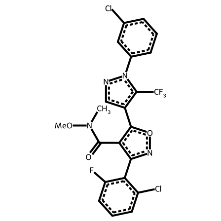 CON(C)C(=O)c1c(-c2c(F)cccc2Cl)noc1-c1cnn(-c2cccc(Cl)c2)c1C(F)(F)F